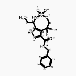 CCC1NS(=O)(=O)OCC(F)(F)c2c(C(=O)NCc3ccccc3)n[nH]c21